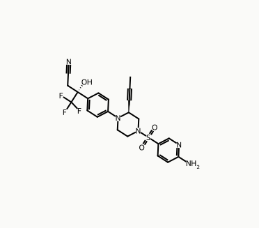 CC#C[C@H]1CN(S(=O)(=O)c2ccc(N)nc2)CCN1c1ccc([C@](O)(CC#N)C(F)(F)F)cc1